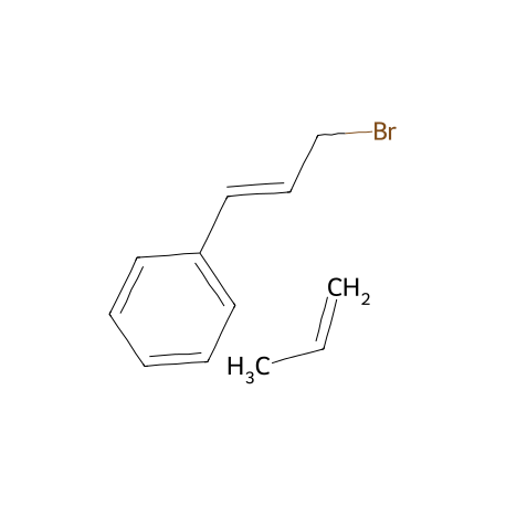 BrCC=Cc1ccccc1.C=CC